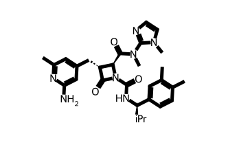 Cc1cc(C[C@H]2C(=O)N(C(=O)N[C@@H](c3ccc(C)c(C)c3)C(C)C)[C@@H]2C(=O)N(C)c2nccn2C)cc(N)n1